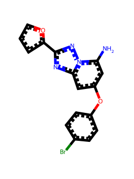 Nc1cc(Oc2ccc(Br)cc2)cc2nc(-c3ccco3)nn12